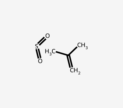 C=C(C)C.O=S=O